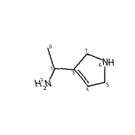 CC(N)C1=CCNC1